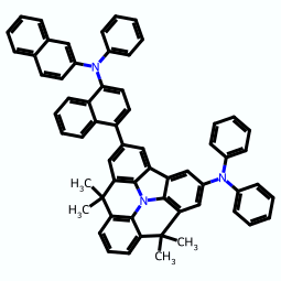 CC1(C)c2cccc3c2-n2c4c1cc(-c1ccc(N(c5ccccc5)c5ccc6ccccc6c5)c5ccccc15)cc4c1cc(N(c4ccccc4)c4ccccc4)cc(c12)C3(C)C